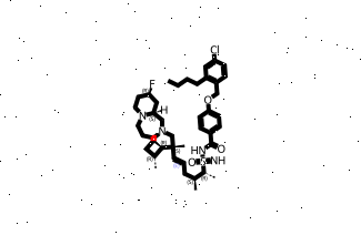 CCCCc1cc(Cl)ccc1COc1ccc(C(=O)NS(=N)(=O)[C@H](C)[C@@H](C)C/C=C/[C@@](C)(CN2CCCN3CC[C@@H](F)C[C@H]3C2)[C@@H]2CC[C@H]2C)cc1